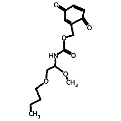 CCCCOCC(NC(=O)OCC1=CC(=O)C=CC1=O)OC